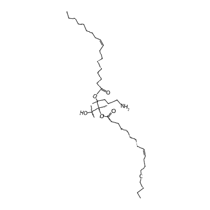 CCCCCCCC/C=C\CCCCCCCC(=O)OC(C)(CCCN)C(C)(OC(=O)CCCCCCC/C=C\CCCCCCCC)C(C)(C)O